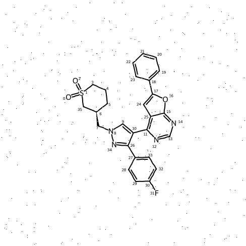 O=S1(=O)CCC[C@@H](Cn2cc(-c3ncnc4oc(-c5ccccc5)cc34)c(-c3ccc(F)cc3)n2)C1